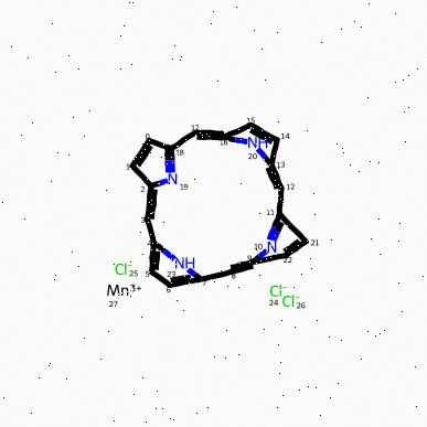 C1=Cc2cc3ccc(cc4nc(cc5ccc(cc1n2)[nH]5)C=C4)[nH]3.[Cl-].[Cl-].[Cl-].[Mn+3]